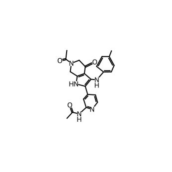 CC(=O)Nc1cc(-c2[nH]c3c(c2Nc2ccc(C)cc2)C(=O)CN(C(C)=O)C3)ccn1